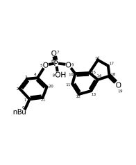 CCCCc1ccc(OP(=O)(O)Oc2cccc3c2CCC3=O)cc1